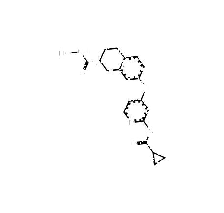 O=C(Nc1cc(Oc2ccc3c(c2)C[C@H](C(=O)NO)CC3)ccn1)C1CC1